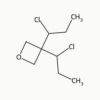 CCC(Cl)C1(C(Cl)CC)COC1